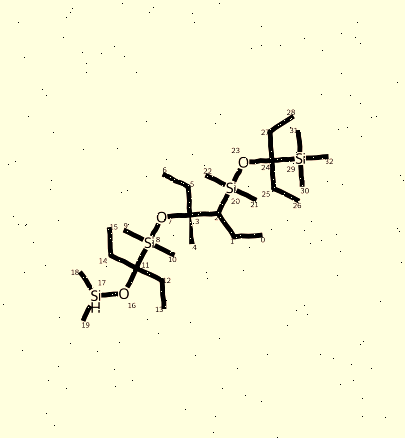 CCC([C@@](C)(CC)O[Si](C)(C)C(CC)(CC)O[SiH](C)C)[Si](C)(C)OC(CC)(CC)[Si](C)(C)C